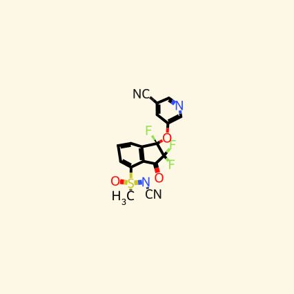 CS(=O)(=NC#N)c1cccc2c1C(=O)C(F)(F)[C@@]2(F)Oc1cncc(C#N)c1